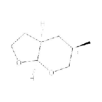 C[C@H]1CO[C@H]2OCC[C@H]2C1